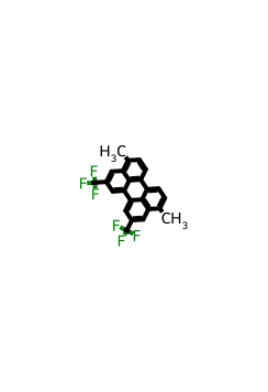 Cc1ccc2c3ccc(C)c4cc(C(F)(F)F)cc(c5cc(C(F)(F)F)cc1c25)c43